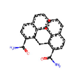 NC(=O)c1ccc2ccccc2c1Cc1c(C(N)=O)ccc2ccccc12